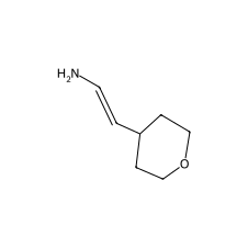 N/C=C/C1CCOCC1